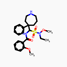 CCN(OC)S(=O)(=O)C(NC(=O)c1ccccc1OC)C1(c2ccccc2)CCCNCC1